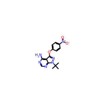 CC(C)(C)n1nc(Oc2ccc([N+](=O)[O-])cc2)c2c(N)ncnc21